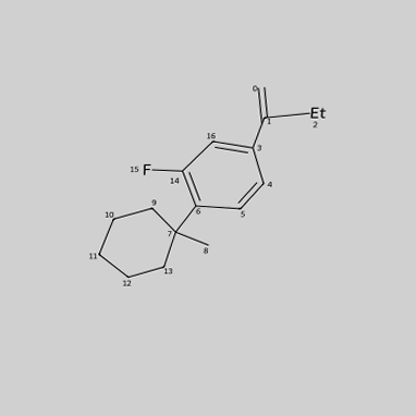 C=C(CC)c1ccc(C2(C)CCCCC2)c(F)c1